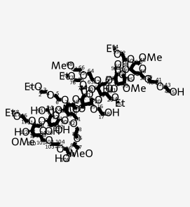 CCOCCOCCO[C@H]1C(O[C@@H]2C(OC)C(OCCO)[C@@H](O[C@H]3C(COCC)O[C@H](O[C@@H]4C(O)C(OC)[C@@H](O[C@H]5C(COCCOCCO)O[C@H](OC)C(OCCOCC)[C@@H]5O)O[C@@H]4CO)C(OCCOCCOC)[C@@H]3O)O[C@@H]2COCCOCC)OC(COCCOCCOC)[C@H](O[C@H]2O[C@H](CO)[C@H](OC3OC(COCCOCCO)[C@H](OC)[C@@H](O)[C@H]3OCCOCC)C(O)C2O)[C@H]1O